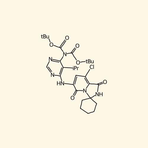 CC(C)c1c(Nc2cc(Cl)c3n(c2=O)C2(CCCCC2)NC3=O)ncnc1N(C(=O)OC(C)(C)C)C(=O)OC(C)(C)C